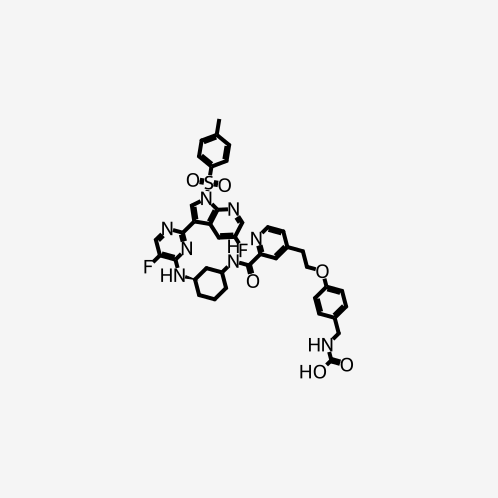 Cc1ccc(S(=O)(=O)n2cc(-c3ncc(F)c(N[C@@H]4CCCC(NC(=O)c5cc(CCOc6ccc(CNC(=O)O)cc6)ccn5)C4)n3)c3cc(F)cnc32)cc1